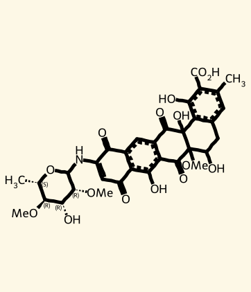 CO[C@@H]1[C@@H](O)[C@@H](OC)C(NC2=CC(=O)c3c(cc4c(c3O)C(=O)C3(OC)C(O)Cc5cc(C)c(C(=O)O)c(O)c5C3(O)C4=O)C2=O)O[C@H]1C